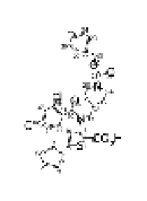 O=C(O)c1sc(-c2ccccc2)cc1N(CC1CCN(C(=O)OCc2ccccc2)CC1)C(=O)c1ccc(Cl)cc1Cl